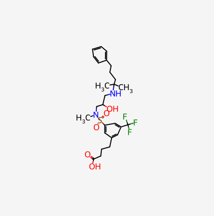 CN(CC(O)CNC(C)(C)CCCc1ccccc1)S(=O)(=O)c1cc(CCCC(=O)O)cc(C(F)(F)F)c1